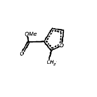 [CH2]c1occc1C(=O)OC